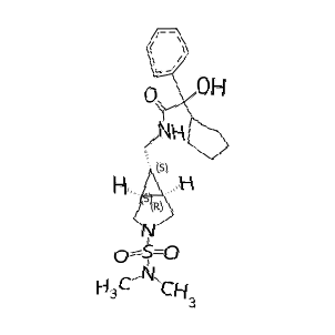 CN(C)S(=O)(=O)N1C[C@@H]2[C@@H](CNC(=O)C(O)(c3ccccc3)C3CCCC3)[C@@H]2C1